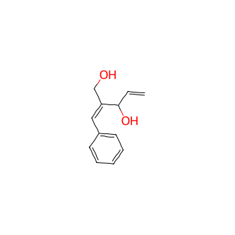 C=CC(O)C(=Cc1ccccc1)CO